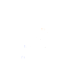 PC(c1ccccc1)(c1ccccc1)c1cc[nH]n1